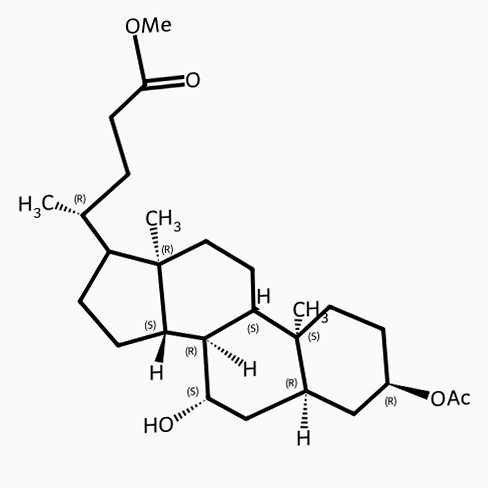 COC(=O)CC[C@@H](C)C1CC[C@H]2[C@@H]3[C@@H](O)C[C@@H]4C[C@H](OC(C)=O)CC[C@]4(C)[C@H]3CC[C@]12C